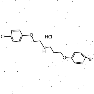 Cl.Clc1ccc(OCCNCCCOc2ccc(Br)cc2)cc1